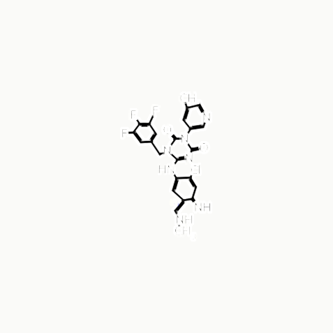 CN/C=C1/C=C(Nc2nc(=O)n(-c3cncc(C)c3)c(=O)n2Cc2cc(F)c(F)c(F)c2)C(Cl)=CC1=N